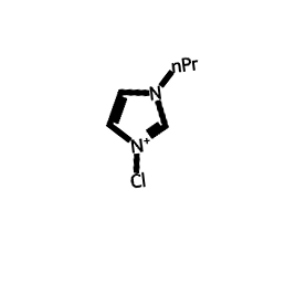 CCCn1cc[n+](Cl)c1